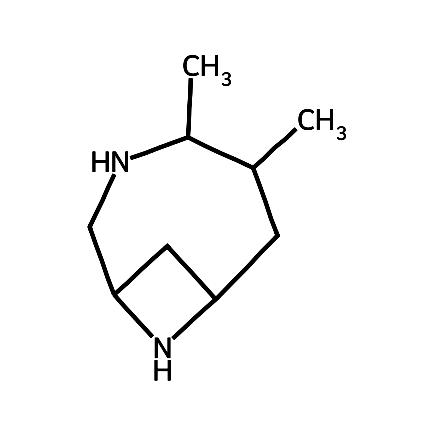 CC1CC2CC(CNC1C)N2